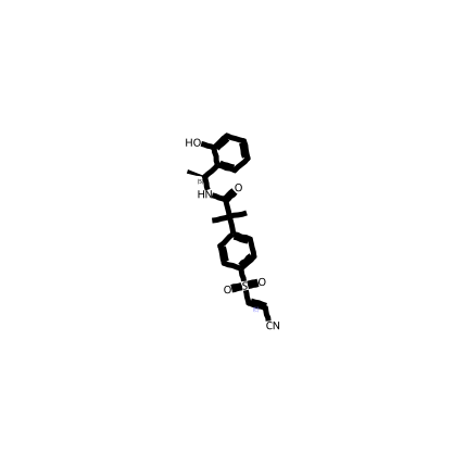 C[C@H](NC(=O)C(C)(C)c1ccc(S(=O)(=O)/C=C/C#N)cc1)c1ccccc1O